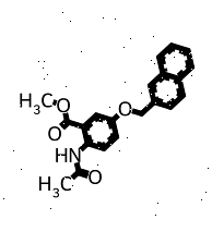 COC(=O)c1cc(OCc2ccc3ccccc3c2)ccc1NC(C)=O